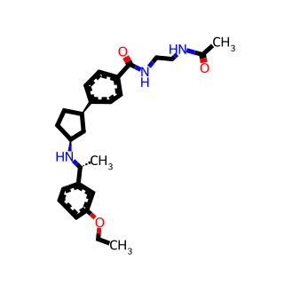 CCOc1cccc([C@@H](C)N[C@H]2CC[C@@H](c3ccc(C(=O)NCCNC(C)=O)cc3)C2)c1